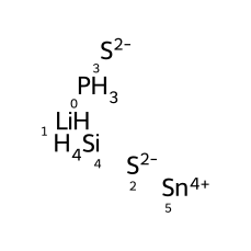 P.[LiH].[S-2].[S-2].[SiH4].[Sn+4]